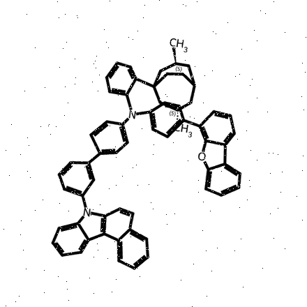 C[C@H]1CC2CCC(c3ccccc3N(c3ccc(-c4cccc(-n5c6ccccc6c6c7ccccc7ccc65)c4)cc3)c3ccc(-c4cccc5c4oc4ccccc45)cc3)(C1)C[C@@H](C)C2